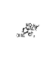 CN1CCN(c2c([N+](=O)[O-])ccc(C=O)c2C(F)(F)F)CC1